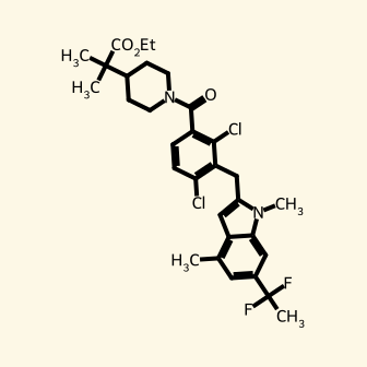 CCOC(=O)C(C)(C)C1CCN(C(=O)c2ccc(Cl)c(Cc3cc4c(C)cc(C(C)(F)F)cc4n3C)c2Cl)CC1